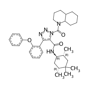 C[C@@H]1CC(C)(C)[C@H](C)C[C@H]1NC(=O)c1c(-c2ccccc2Oc2ccccc2)nnn1C(=O)N1CCCC2CCCCC21